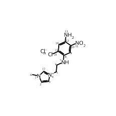 Cn1cc[n+](CCNc2cc([N+](=O)[O-])c(N)cc2Cl)c1.[Cl-]